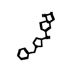 c1ccc(CN2CCC(Nc3ccc4[nH]ncc4c3)C2)cc1